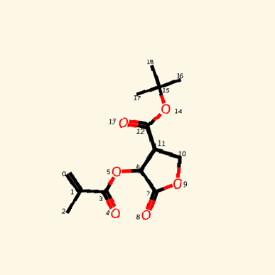 C=C(C)C(=O)OC1C(=O)OCC1C(=O)OC(C)(C)C